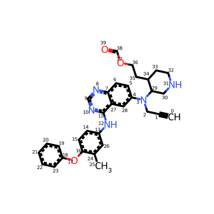 C#CCN(c1ccc2ncnc(Nc3ccc(Oc4ccccc4)c(C)c3)c2c1)C1CNCCC1CCOC=O